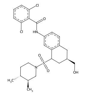 C[C@@H]1CCN(S(=O)(=O)C2C[C@H](CO)Cc3ccc(NC(=O)c4c(Cl)cccc4Cl)cc32)C[C@H]1C